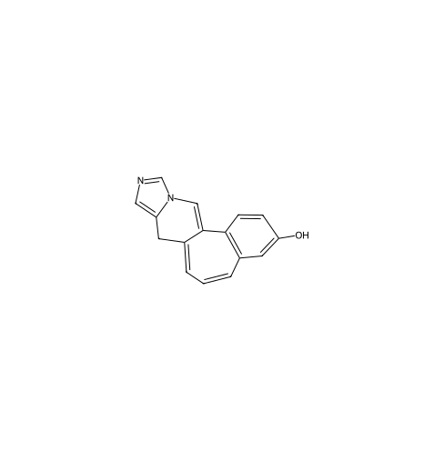 Oc1ccc2c(c1)C=CC=C1Cc3cncn3C=C12